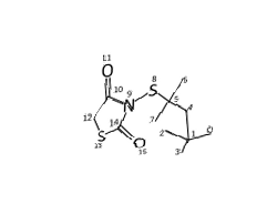 CC(C)(C)CC(C)(C)SN1C(=O)CSC1=O